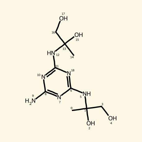 CC(O)(CO)Nc1nc(N)nc(NC(C)(O)CO)n1